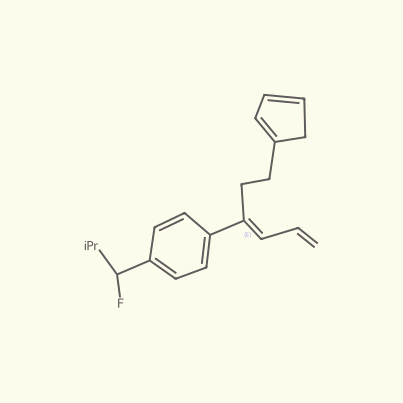 C=C/C=C(\CCC1=CC=CC1)c1ccc(C(F)C(C)C)cc1